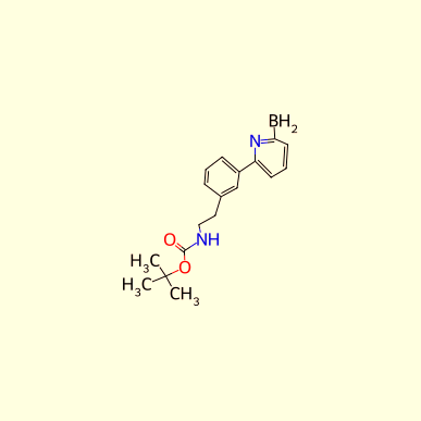 Bc1cccc(-c2cccc(CCNC(=O)OC(C)(C)C)c2)n1